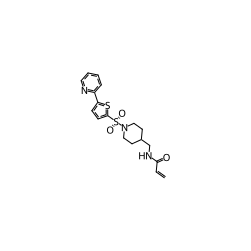 C=CC(=O)NCC1CCN(S(=O)(=O)c2ccc(-c3ccccn3)s2)CC1